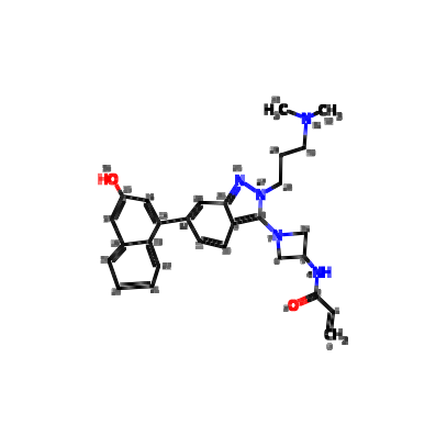 C=CC(=O)NC1CN(c2c3ccc(-c4cc(O)cc5ccccc45)cc3nn2CCCN(C)C)C1